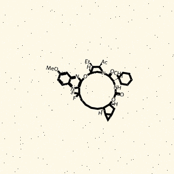 CC[C@@H]1[C@@H]2CN(C(=O)[C@H](C3(C)CCCCC3)NC(=O)O[C@@H]3CC4CC4[C@H]3CCCCC(F)(F)c3nc4ccc(OC)cc4nc3O2)[C@@H]1C(C)=O